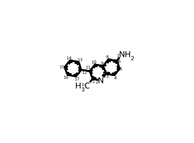 Cc1nc2ccc(N)cc2cc1-c1ccccc1